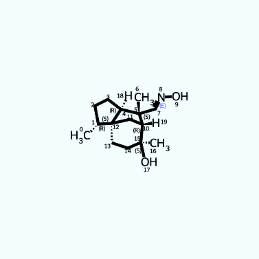 C[C@@H]1CC[C@H]2[C@](C)(/C=N/O)[C@H]3C[C@@]12CC[C@]3(C)O